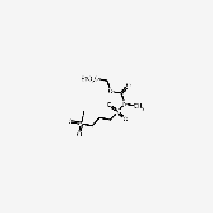 CCOC(=O)COC(=O)N(C)S(=O)(=O)CCCS(=O)(=O)I